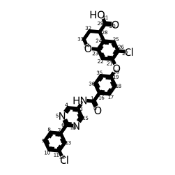 O=C(Nc1cnc(-c2cccc(Cl)c2)nc1)c1ccc(Oc2cc3c(cc2Cl)C(C(=O)O)CCO3)cc1